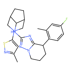 Cc1cc(N2CC3CCC(C2)C3Nc2nc3n(n2)CCCC3c2ccc(F)cc2C)sn1